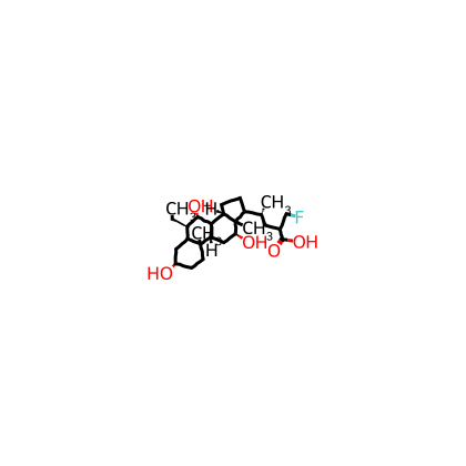 CC[C@@H]1C2C[C@H](O)CCC2(C)[C@H]2C[C@H](O)C3(C)C([C@H](C)CC(CF)C(=O)O)CC[C@H]3C2[C@@H]1O